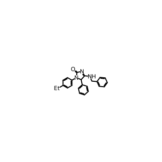 CCc1ccc(N2C(=O)N=C(NCc3ccccc3)C2c2ccccc2)cc1